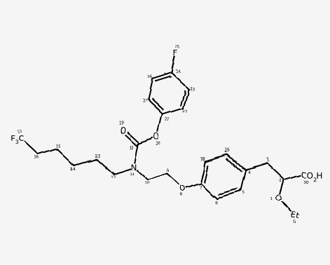 CCOC(Cc1ccc(OCCN(CCCCCC(F)(F)F)C(=O)Oc2ccc(F)cc2)cc1)C(=O)O